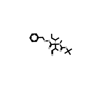 CCC(C)[C@@](C(=O)OOCc1ccccc1)(C(C)C=O)N(C)C(=O)OC(C)(C)C